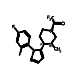 C[C@@H]1CN(C(=O)C(F)(F)F)CC[C@@H]1c1ccnn1-c1ccc(F)cc1F